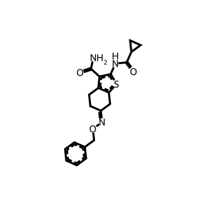 NC(=O)c1c(NC(=O)C2CC2)sc2c1CCC(=NOCc1ccccc1)C2